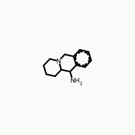 NC1c2ccccc2CN2CCCCC12